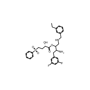 CCc1cccc(CNCC(OC(=O)[C@@H](O)CCS(=O)(=O)c2ccccc2)C(N)Cc2cc(F)cc(F)c2)c1